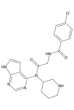 O=C(NCC(=O)N(c1ncnc2[nH]ccc12)C1CCCNC1)c1ccc(Cl)cc1